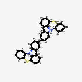 c1ccc2c(c1)Sc1cccc3c4cc(-c5ccc6c(c5)c5cccc7c5n6-c5ccccc5S7)ccc4n-2c13